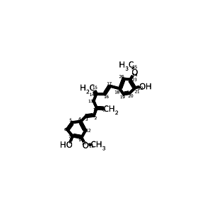 C=C(/C=C/c1ccc(O)c(OC)c1)CC(=C)/C=C/c1ccc(O)c(OC)c1